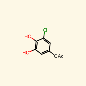 CC(=O)Oc1cc(O)c(O)c(Cl)c1